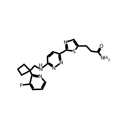 NC(=O)CCc1cnc(-c2ccc(NCC3(c4ncccc4F)CCC3)nn2)s1